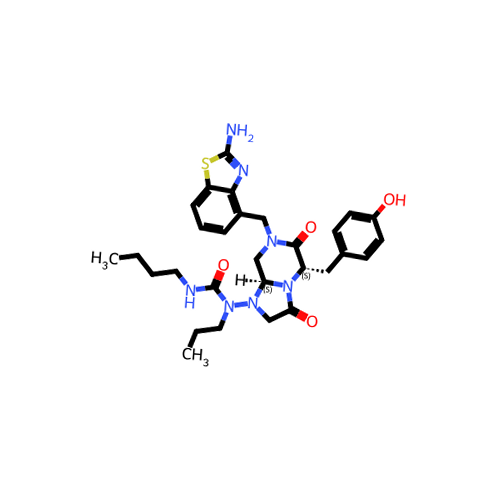 CCCCNC(=O)N(CCC)N1CC(=O)N2[C@@H](Cc3ccc(O)cc3)C(=O)N(Cc3cccc4sc(N)nc34)C[C@@H]21